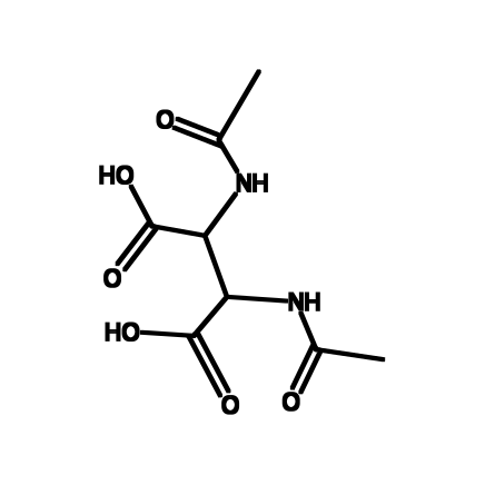 CC(=O)NC(C(=O)O)C(NC(C)=O)C(=O)O